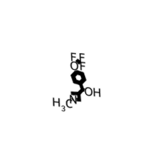 CN1CC(C(O)c2ccc(OC(F)(F)F)cc2)C1